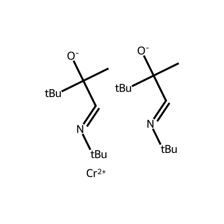 CC(C)(C)N=CC(C)([O-])C(C)(C)C.CC(C)(C)N=CC(C)([O-])C(C)(C)C.[Cr+2]